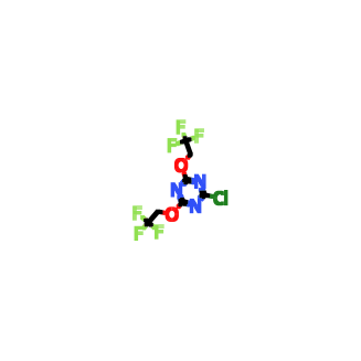 FC(F)(F)COc1nc(Cl)nc(OCC(F)(F)F)n1